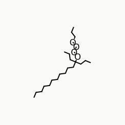 CCCCCCCCCCCC(CCC)(CCC)OOOOCCC